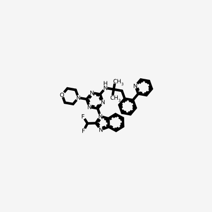 CC(C)(Cc1ccccc1-c1ccccn1)Nc1nc(N2CCOCC2)nc(-n2c(C(F)F)nc3ccccc32)n1